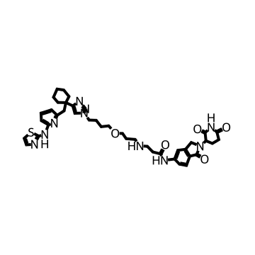 O=C1CCC(N2Cc3cc(NC(=O)CCNCCCOCCCCn4cc(C5(Cc6cccc(Nc7nccs7)n6)CCCCC5)nn4)ccc3C2=O)C(=O)N1